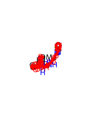 COc1cccc2c1C(=O)c1c(O)c3c(c(O)c1C2=O)C[C@@](O)(C(=O)NOCc1ccc(NC(=O)CNC(=O)CCOCCOCCn2nc4c(n2)CSC2CCCCCCCCC(C2)SC4)cc1)C[C@@H]3O[C@H]1C[C@H]2[C@H](O[C@@H]3[C@@H](OC)OCCN32)[C@H](C)O1